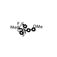 COC(=O)CC1c2cccc(F)c2N=C(c2ccc(-c3cccc(OC)c3)cc2)N1c1cccc(C(F)(F)F)c1